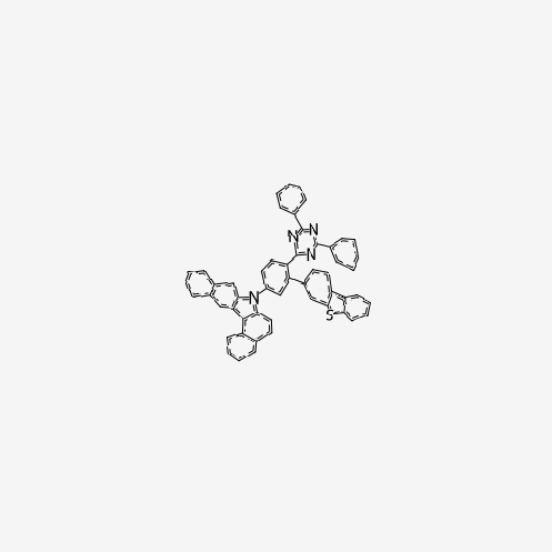 c1ccc(-c2nc(-c3ccccc3)nc(-c3ccc(-n4c5cc6ccccc6cc5c5c6ccccc6ccc54)cc3-c3ccc4c(c3)sc3ccccc34)n2)cc1